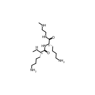 CNCCNC(=O)[C@H](CCCCN)NC(=O)[C@H](CCCCN)NC